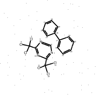 ClC(Cl)(Cl)c1ncnc(C(Cl)(Cl)Cl)n1.c1ccc(-c2ccccc2)cc1